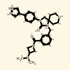 CN(C)C1CN(C(=O)c2cccc(CN3C(=O)N(c4ccc(-c5cn[nH]c5)cc4)CC34CCOCC4)c2)C1